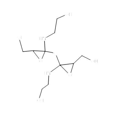 OCCNC1(OC2(NCCO)OC2CO)OC1CO